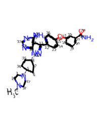 CN1CCN([C@H]2CC[C@@H](n3nc(-c4ccc(Oc5cccc(C(N)=O)c5)cc4)c4c(N)ncnc43)CC2)CC1